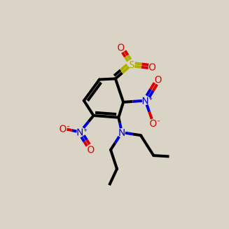 CCCN(CCC)C1=C([N+](=O)[O-])C=CC(=S(=O)=O)C1[N+](=O)[O-]